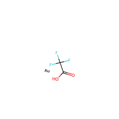 O=C(O)C(F)(F)F.[Au]